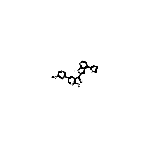 COc1cncc(-c2cnc3[nH]nc(-c4cc5c(-c6cccs6)ccnc5[nH]4)c3c2)c1